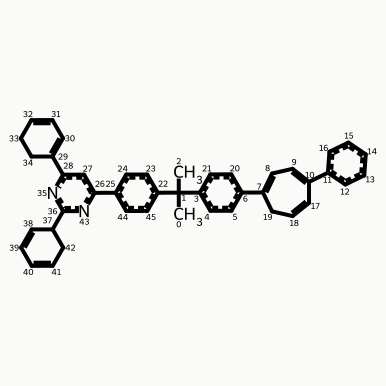 CC(C)(c1ccc(C2=CC=C(c3ccccc3)C=CC2)cc1)c1ccc(-c2cc(C3=CC=CCC3)nc(C3C=CC=CC3)n2)cc1